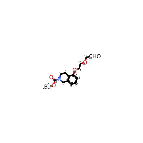 CC(C)(C)OC(=O)N1CCc2c(cccc2OCCOCC=O)C1